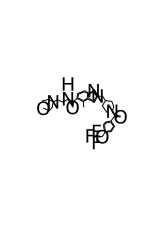 Cc1c(C(=O)NCCN2CCOCC2)ccc2nn(CC3CCN(C(=O)c4ccc(OC(F)(F)F)cc4)CC3)cc12